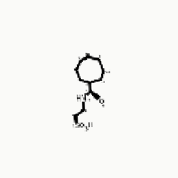 O=C(NCCS(=O)(=O)O)C1CCCCCCC1